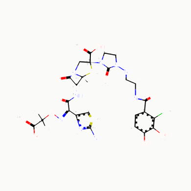 CC(C)(O/N=C(\C(=O)N[C@@H]1C(=O)N2C[C@@](C(=O)O)(N3CCN(NCCNC(=O)c4ccc(O)c(O)c4Cl)C3=O)S[C@H]12)c1csc(N)n1)C(=O)O